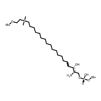 CC(C)(C)OCC[N+](C)(C)CCCCCCCCCCCCCC/C=C/[C@H](O)[C@H](N)COP(=O)(O)OC(C)(C)C